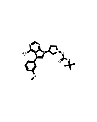 COc1cccc(-c2cn(C3CCN(OC(=O)OC(C)(C)C)C3)c3ncnc(N)c23)c1